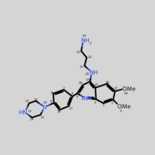 COc1cc2nc(-c3ccc(N4CCNCC4)cc3)cc(NCCCN)c2cc1OC